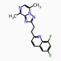 Cc1ncc(C)n2nc(CCc3ccc4cc(F)cc(F)c4n3)nc12